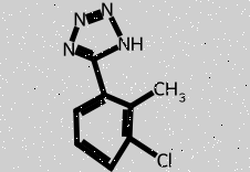 Cc1c(Cl)cccc1-c1nnn[nH]1